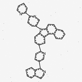 c1ccc(-c2ccc(-n3c4ccc(-c5ccc(-c6nccc7ccccc67)cn5)cc4c4c5ccccc5ccc43)cn2)nc1